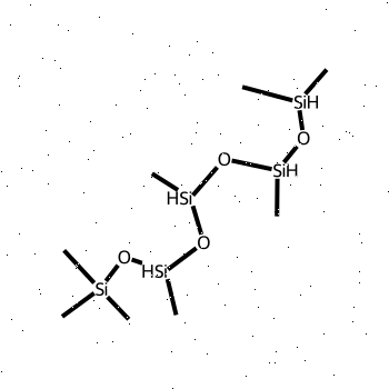 C[SiH](C)O[SiH](C)O[SiH](C)O[SiH](C)O[Si](C)(C)C